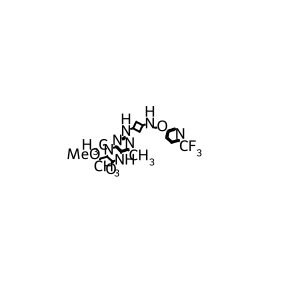 CO[C@H](C)[C@H]1C(=O)Nc2c(C)nc(NC3CC(NCOc4ccc(C(F)(F)F)nc4)C3)nc2N1C